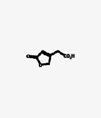 O=C(O)CC1=CC(=O)OC1